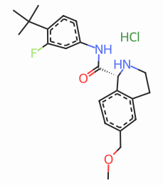 COCc1ccc2c(c1)CCN[C@H]2C(=O)Nc1ccc(C(C)(C)C)c(F)c1.Cl